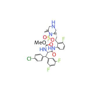 COC(=O)NC(C(=O)Nc1cccc(F)c1CC[C@H]1CNC[C@H](C)N1S(C)(=O)=O)C(c1ccc(Cl)cc1)c1cc(F)cc(F)c1